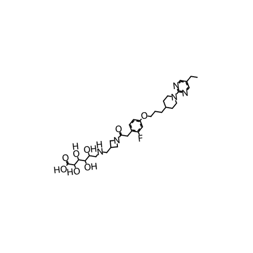 CCc1cnc(N2CCC(CCCOc3ccc(CC(=O)N4CC(CNCC(O)C(O)C(O)C(O)C(=O)O)C4)c(F)c3)CC2)nc1